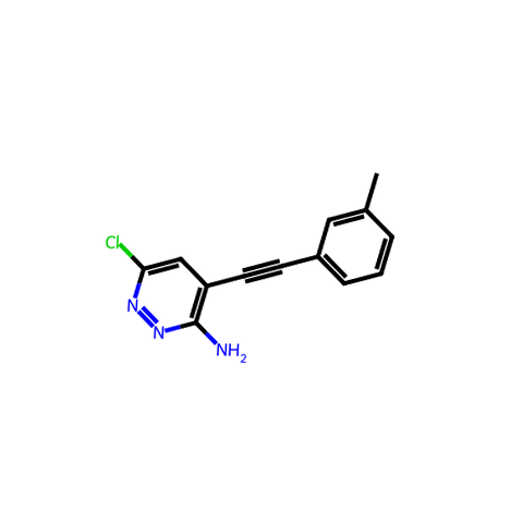 Cc1cccc(C#Cc2cc(Cl)nnc2N)c1